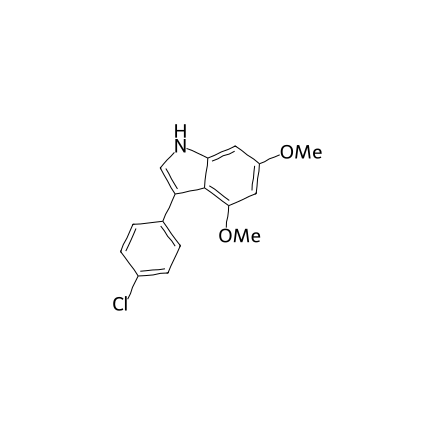 COc1cc(OC)c2c(-c3ccc(Cl)cc3)c[nH]c2c1